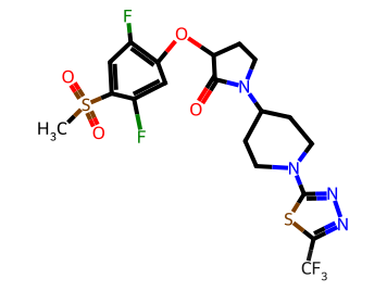 CS(=O)(=O)c1cc(F)c(OC2CCN(C3CCN(c4nnc(C(F)(F)F)s4)CC3)C2=O)cc1F